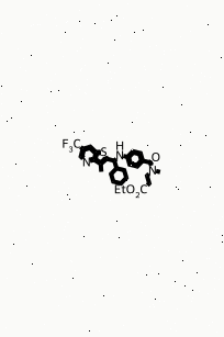 CCOC(=O)CCN(C)C(=O)c1ccc(NC(c2sc3cc(C(F)(F)F)cnc3c2C)C2CCCCC2)cc1